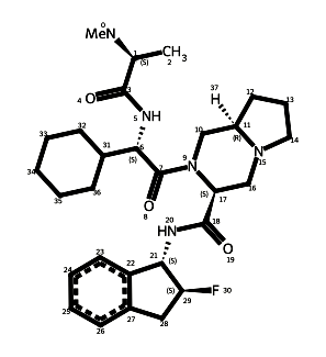 CN[C@@H](C)C(=O)N[C@H](C(=O)N1C[C@H]2CCCN2C[C@H]1C(=O)N[C@H]1c2ccccc2C[C@@H]1F)C1CCCCC1